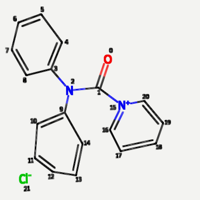 O=C(N(c1ccccc1)c1ccccc1)[n+]1ccccc1.[Cl-]